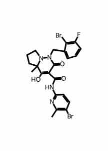 Cc1nc(NC(=O)C2=C(O)C3(C)CCCN3N(Cc3cccc(F)c3Br)C2=O)ccc1Br